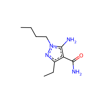 CCCCn1nc(CC)c(C(N)=O)c1N